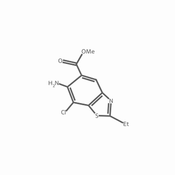 CCc1nc2cc(C(=O)OC)c(N)c(Cl)c2s1